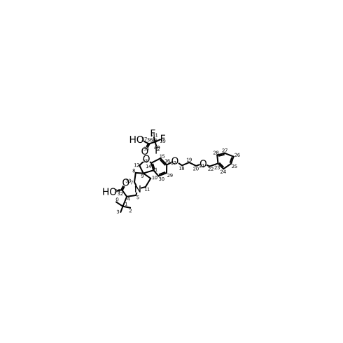 CC(C)(C)C(CN1CCC2(CC1)COc1cc(OCCCOCc3ccccc3)ccc12)C(=O)O.O=C(O)C(F)(F)F